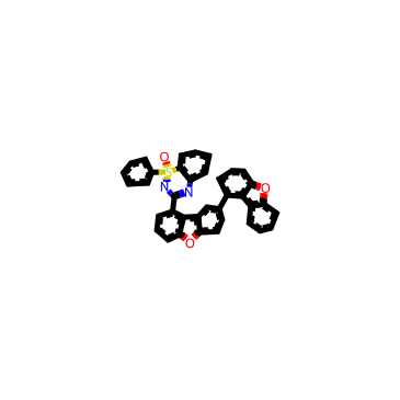 O=S1(c2ccccc2)=NC(c2cccc3oc4ccc(-c5cccc6oc7ccccc7c56)cc4c23)=Nc2ccccc21